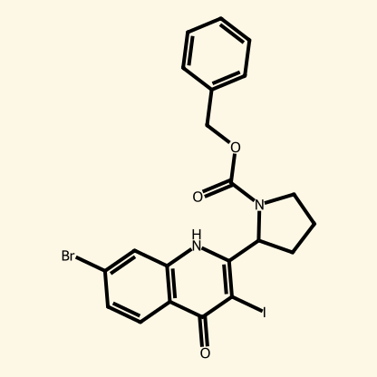 O=C(OCc1ccccc1)N1CCCC1c1[nH]c2cc(Br)ccc2c(=O)c1I